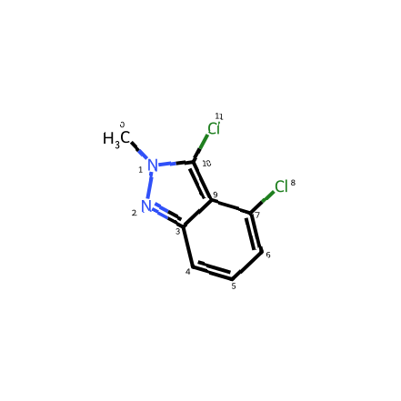 Cn1nc2cccc(Cl)c2c1Cl